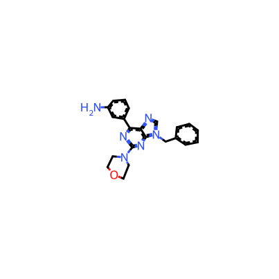 Nc1cccc(-c2nc(N3CCOCC3)nc3c2ncn3Cc2ccccc2)c1